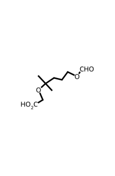 CC(C)(CCCOC=O)OCC(=O)O